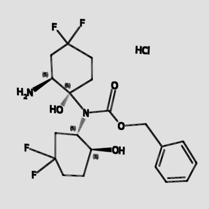 Cl.N[C@H]1CC(F)(F)CC[C@@]1(O)N(C(=O)OCc1ccccc1)[C@H]1CC(F)(F)CC[C@@H]1O